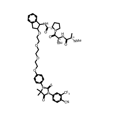 CN[C@@H](C)C(=O)N[C@H](C(=O)N1CCC[C@H]1C(=O)NC1c2ccccc2CC1OCCOCCOCCOc1ccc(N2C(=S)N(c3ccc(C#N)c(C(F)(F)F)c3)C(=O)C2(C)C)cc1)C(C)(C)C